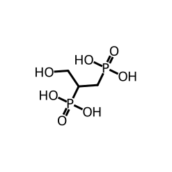 O=P(O)(O)CC(CO)P(=O)(O)O